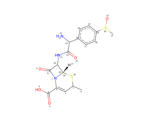 CC1C=C(C(=O)O)N2C(=O)C(NC(=O)C(N)c3ccc([S+](C)[O-])cc3)[C@@H]2S1